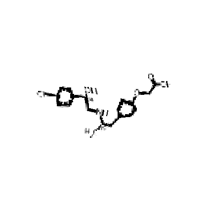 C[C@H](Cc1ccc(OCC(=O)O)cc1)NC[C@H](O)c1ccc(Cl)cc1